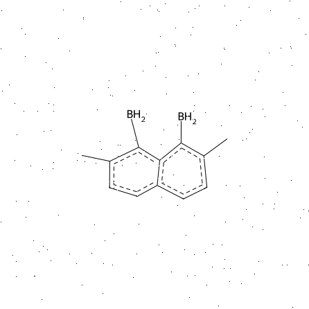 Bc1c(C)ccc2ccc(C)c(B)c12